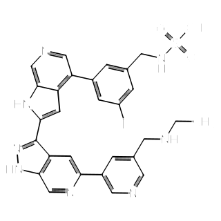 CCNCc1cncc(-c2cc3c(-c4cc5c(-c6cc(F)cc(CNS(C)(=O)=O)c6)cncc5[nH]4)n[nH]c3cn2)c1